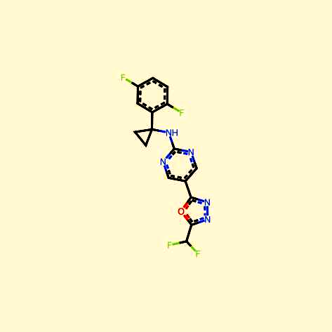 Fc1ccc(F)c(C2(Nc3ncc(-c4nnc(C(F)F)o4)cn3)CC2)c1